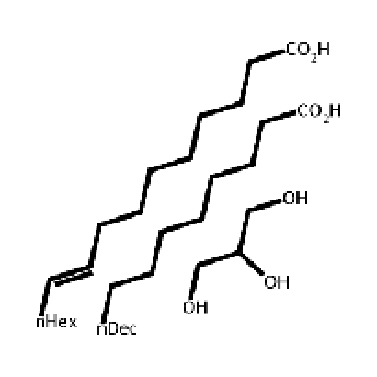 CCCCCCC=CCCCCCCCC(=O)O.CCCCCCCCCCCCCCCCCC(=O)O.OCC(O)CO